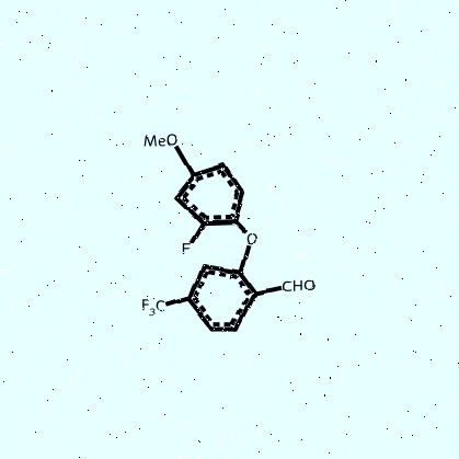 COc1ccc(Oc2cc(C(F)(F)F)ccc2C=O)c(F)c1